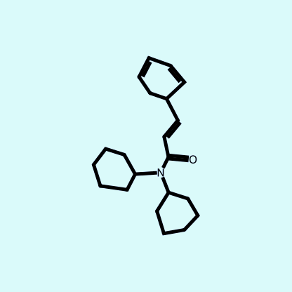 O=C(/C=C/C1C=CC=CC1)N(C1CCCCC1)C1CCCCC1